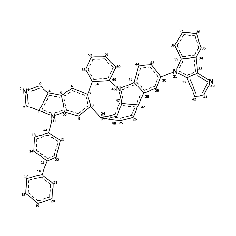 C1=[N+]=Cc2c1c1cc3c(cc1n2-c1ccc(-c2ccccc2)cc1)-c1ccc2c4cc(-n5c6c(c7ccccc75)=[N+]=CC=6)ccc4n(c2c1)-c1ccccc1-3